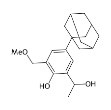 COCc1cc(C23CC4CC(CC(C4)C2)C3)cc(C(C)O)c1O